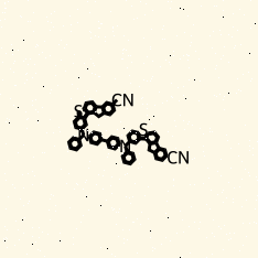 N#Cc1ccc2c(c1)-c1ccc3sc4ccc(N(c5ccccc5)c5ccc(-c6ccc(N(c7ccccc7)c7ccc8sc9ccc%10c(c9c8c7)Cc7ccc(C#N)cc7-%10)cc6)cc5)cc4c3c1C2